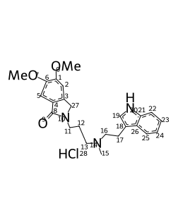 COc1cc2c(cc1OC)C(=O)N(CCCN(C)CCc1c[nH]c3ccccc13)C2.Cl